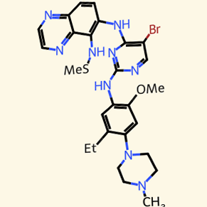 CCc1cc(Nc2ncc(Br)c(Nc3ccc4nccnc4c3NSC)n2)c(OC)cc1N1CCN(C)CC1